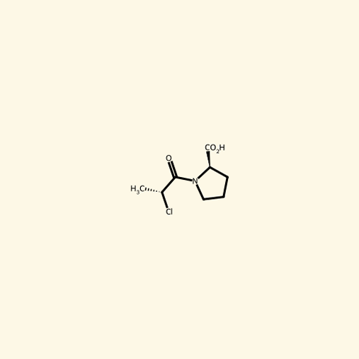 C[C@@H](Cl)C(=O)N1CCC[C@@H]1C(=O)O